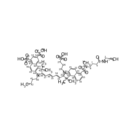 C#CCNC(=O)CCCN(C)S(=O)(=O)c1cccc2c3c(ccc12)[N+](CCCS(=O)(=O)O)=C(/C=C/C=C/C=C1/N(CCCC)c2ccc4c(S(=O)(=O)O)cc(S(=O)(=O)O)cc4c2C1(C)C)C3(C)C